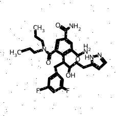 CCCN(CCC)C(=O)c1cc(C(N)=O)cc(C(N)=O)c1C(Cc1cc(F)cc(F)c1)C(O)CCc1ccn[nH]1